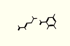 C/C(=C\CC(C)OC(=O)c1cc(I)cc(I)c1I)C(=O)O